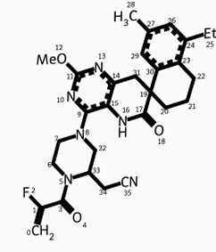 C=C(F)C(=O)N1CCN(c2nc(OC)nc3c2NC(=O)C2(CCCc4c(CC)cc(C)cc42)C3)CC1CC#N